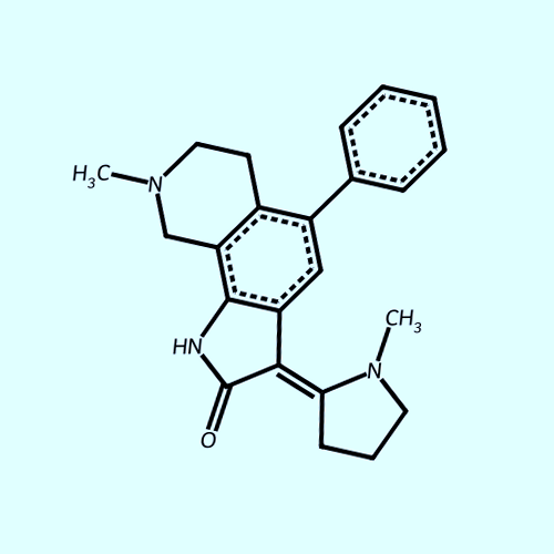 CN1CCc2c(-c3ccccc3)cc3c(c2C1)NC(=O)/C3=C1\CCCN1C